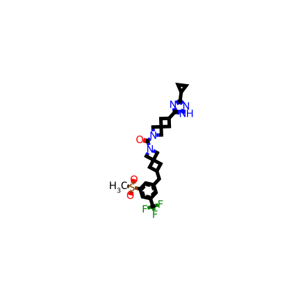 CS(=O)(=O)c1cc(CC2CC3(C2)CN(C(=O)N2CC4(CC(c5nc(C6CC6)n[nH]5)C4)C2)C3)cc(C(F)(F)F)c1